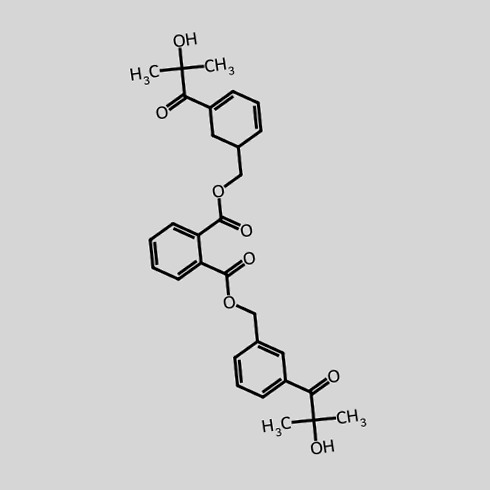 CC(C)(O)C(=O)C1=CC=CC(COC(=O)c2ccccc2C(=O)OCc2cccc(C(=O)C(C)(C)O)c2)C1